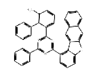 CC1C=CC=C(c2nc(-c3ccccc3)nc(-c3cccc4oc5cc6ccccc6cc5c34)n2)C1c1ccccc1